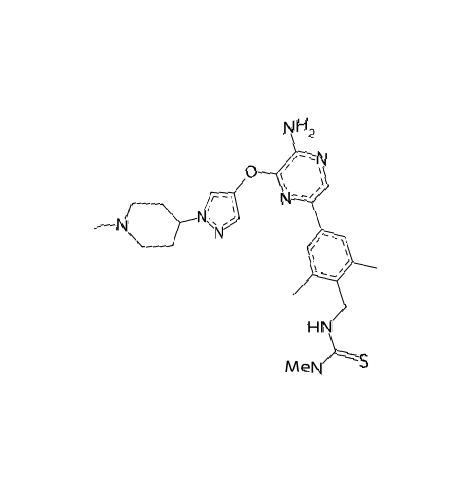 CNC(=S)NCc1c(C)cc(-c2cnc(N)c(Oc3cnn(C4CCN(C)CC4)c3)n2)cc1C